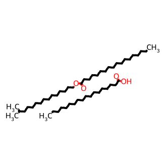 CCCCCCCCCCCCCCCCCC(=O)O.CCCCCCCCCCCCCCCCCC(=O)OCCCCCCCCCCCCCC(C)C